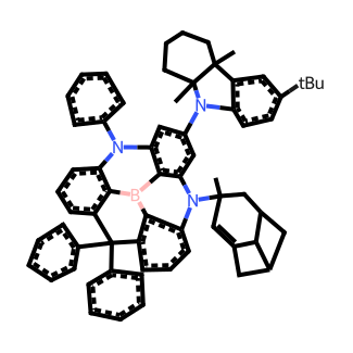 CC(C)(C)c1ccc2c(c1)C1(C)CCCCC1(C)N2c1cc2c3c(c1)N(C1(C)C=C4CC5CC(C1)C45)c1cccc4c1B3c1c(cccc1C4(c1ccccc1)c1ccccc1)N2c1ccccc1